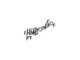 O=C(NCc1cc(F)cc(F)c1F)C1(O)CCN(c2ccc3c(c2)CN([C@@H]2CC[C@@H](c4cc(F)ccc4F)OC2)C3)C1=O